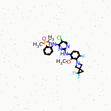 COc1c(Nc2ncc(Cl)c(Nc3ccccc3P(C)(C)=O)n2)ccc(F)c1N1CC2(C1)CC2(F)F